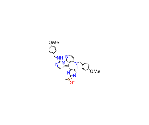 COc1ccc(CNc2ccnc3c2c(-c2ccnc([S+](C)[O-])n2)c2ccnc(NCc4ccc(OC)cc4)n23)cc1